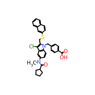 CN(C(=O)C1CCCC1)c1ccc2c(c1)c(Cl)c(CSc1ccc3ccccc3c1)n2Cc1ccc(C(=O)O)cc1